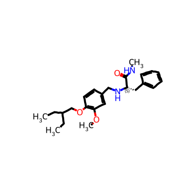 CCC(CC)COc1ccc(CN[C@@H](Cc2ccccc2)C(=O)NC)cc1OC